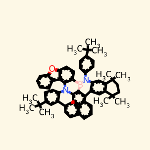 CC(C)(C)c1ccc(N2B3c4ccc5oc6ccccc6c5c4N(c4ccc(C(C)(C)C)cc4-c4ccccc4)c4cc5ccccc5c(c43)-c3cc4c(cc32)C(C)(C)CCC4(C)C)cc1